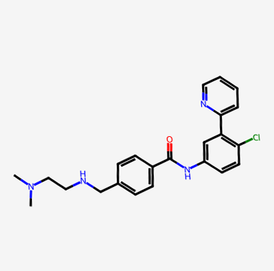 CN(C)CCNCc1ccc(C(=O)Nc2ccc(Cl)c(-c3ccccn3)c2)cc1